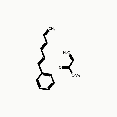 C=CC(=O)OC.C=CC=CC=Cc1ccccc1